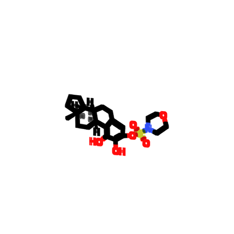 C[C@@]12CCC[C@H]1[C@@H]1CCc3cc(OS(=O)(=O)N4CCOCC4)c(O)c(O)c3[C@H]1CC2